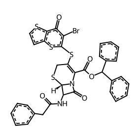 O=C(Cc1ccccc1)NC1C(=O)N2C(C(=O)OC(c3ccccc3)c3ccccc3)=C(Sc3sc4ccsc4c(=O)c3Br)CS[C@@H]12